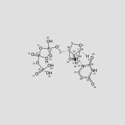 N[C@H]1[C@H]2OC[C@]1(COP(=O)(O)OP(=O)(O)OP(=O)(O)O)O[C@H]2n1ccc(=O)[nH]c1=O